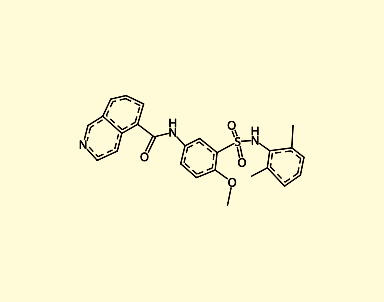 COc1ccc(NC(=O)c2cccc3cnccc23)cc1S(=O)(=O)Nc1c(C)cccc1C